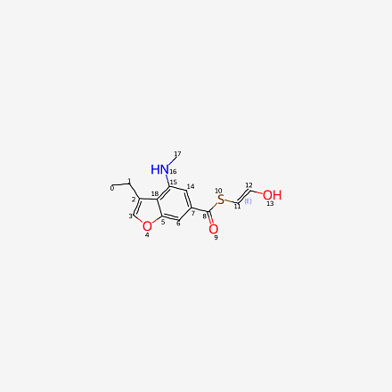 CCc1coc2cc(C(=O)S/C=C/O)cc(NC)c12